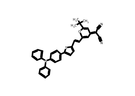 CC(C)(C)C1=CC(=C(C#N)C#N)C=C(C=Cc2ccc(-c3ccc(N(c4ccccc4)c4ccccc4)cc3)s2)O1